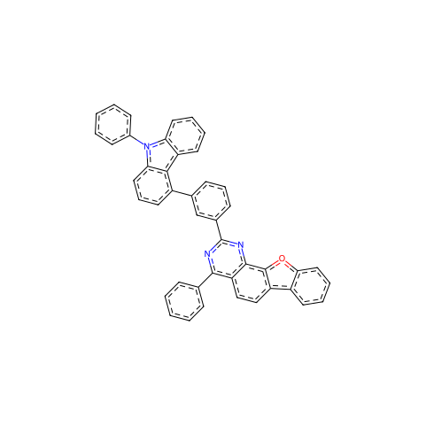 c1ccc(-c2nc(-c3cccc(-c4cccc5c4c4ccccc4n5-c4ccccc4)c3)nc3c2ccc2c4ccccc4oc23)cc1